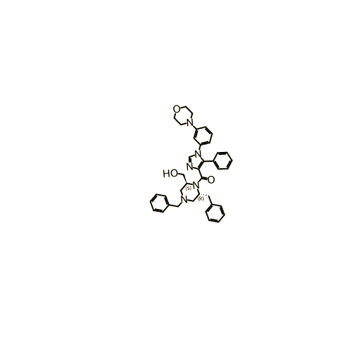 O=C(c1ncn(-c2cccc(N3CCOCC3)c2)c1-c1ccccc1)N1[C@H](CO)CN(Cc2ccccc2)C[C@H]1Cc1ccccc1